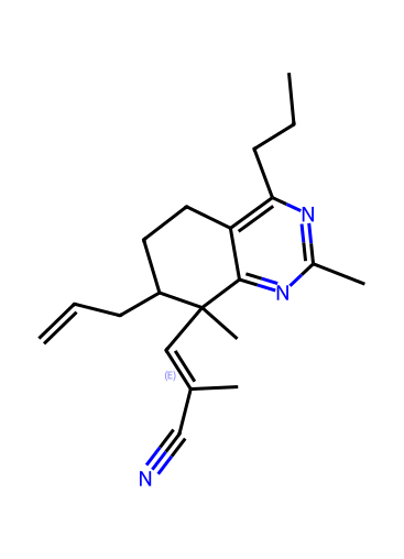 C=CCC1CCc2c(CCC)nc(C)nc2C1(C)/C=C(\C)C#N